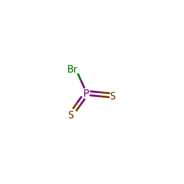 S=P(=S)Br